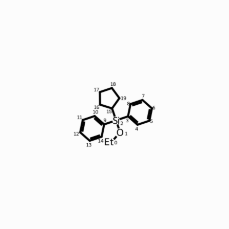 CCO[Si](c1ccccc1)(c1ccccc1)C1CCCC1